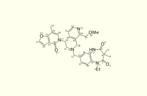 CCN1C(=O)C(C)(C)C(=O)Nc2cc(CN(CCn3cc(C)c4occc4c3=O)Cc3cccnc3COC)ccc21